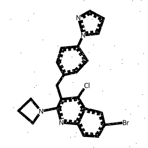 Clc1c(Cc2ccc(-n3cccn3)cc2)c(N2CCC2)nc2ccc(Br)cc12